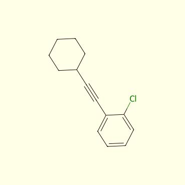 Clc1ccccc1C#CC1CCCCC1